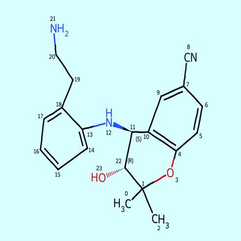 CC1(C)Oc2ccc(C#N)cc2[C@H](Nc2ccccc2CCN)[C@H]1O